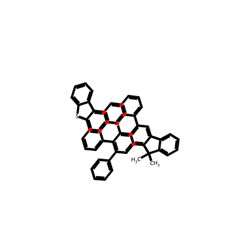 CC1(C)c2ccccc2-c2cc(-c3ccccc3N(c3ccc4sc5ccccc5c4c3)c3cccc(-c4ccccc4)c3-c3ccccc3-c3ccccc3)ccc21